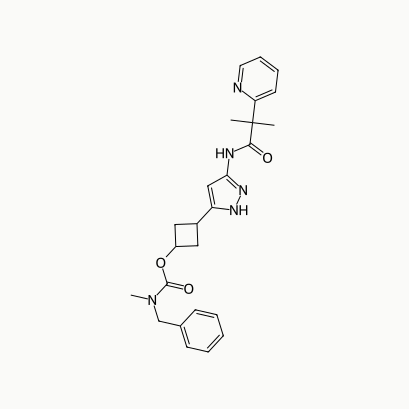 CN(Cc1ccccc1)C(=O)OC1CC(c2cc(NC(=O)C(C)(C)c3ccccn3)n[nH]2)C1